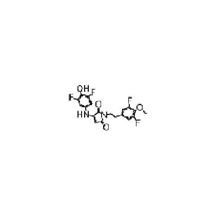 COc1c(F)cc(CCN2C(=O)C=C(Nc3cc(F)c(O)c(F)c3)C2=O)cc1F